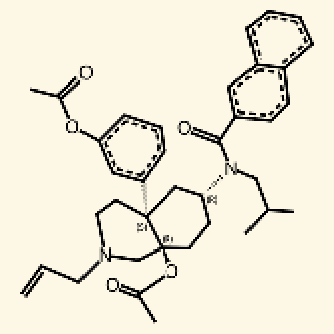 C=CCN1CC[C@@]2(c3cccc(OC(C)=O)c3)C[C@H](N(CC(C)C)C(=O)c3ccc4ccccc4c3)CC[C@]2(OC(C)=O)C1